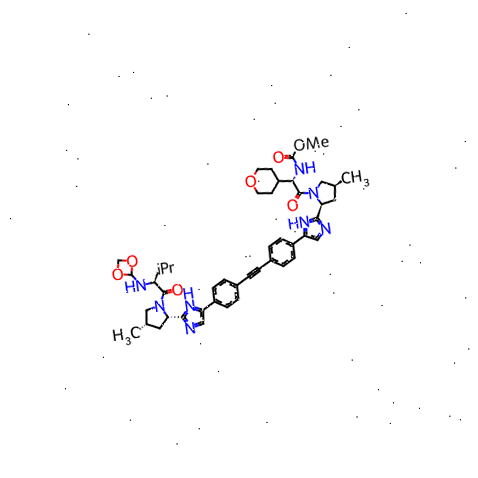 COC(=O)N[C@H](C(=O)N1C[C@@H](C)C[C@H]1c1ncc(-c2ccc(C#Cc3ccc(-c4cnc([C@@H]5C[C@H](C)CN5C(=O)[C@@H](NC5OCO5)C(C)C)[nH]4)cc3)cc2)[nH]1)C1CCOCC1